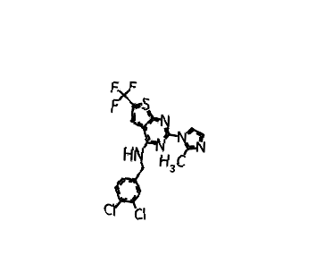 Cc1nccn1-c1nc(NCc2ccc(Cl)c(Cl)c2)c2cc(C(F)(F)F)sc2n1